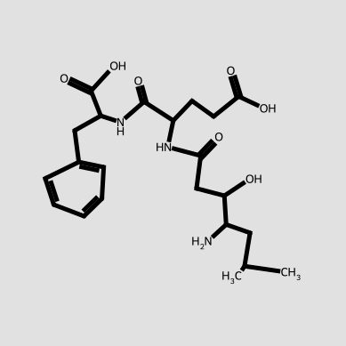 CC(C)CC(N)C(O)CC(=O)NC(CCC(=O)O)C(=O)NC(Cc1ccccc1)C(=O)O